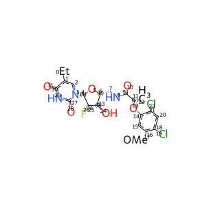 CCc1cn([C@@H]2O[C@H](CNC(=O)[C@H](C)Oc3cc(OC)c(Cl)cc3Cl)[C@@H](O)[C@@H]2F)c(=O)[nH]c1=O